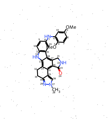 COc1ccc(OC)c(Nc2ccc3[nH]c4c5c(c6c(c4c3c2)CNC6=O)-c2cn(C)nc2CC5)c1